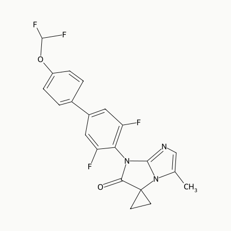 Cc1cnc2n1C1(CC1)C(=O)N2c1c(F)cc(-c2ccc(OC(F)F)cc2)cc1F